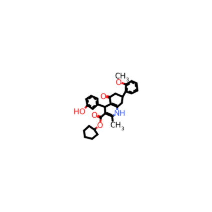 COc1ccccc1C1CC(=O)C2=C(C1)NC(C)=C(C(=O)OC1CCCCC1)C2c1cccc(O)c1